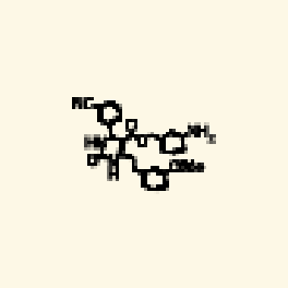 COc1cccc(CCC2=C(C(=O)OCc3cccc(N)c3)C(c3cccc(C#N)c3)NC(=O)N2)c1